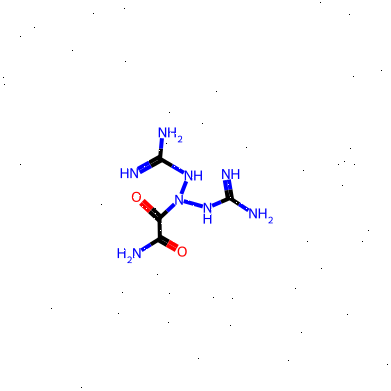 N=C(N)NN(NC(=N)N)C(=O)C(N)=O